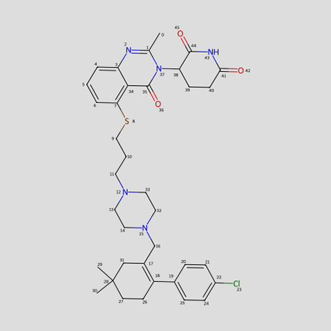 Cc1nc2cccc(SCCCN3CCN(CC4=C(c5ccc(Cl)cc5)CCC(C)(C)C4)CC3)c2c(=O)n1C1CCC(=O)NC1=O